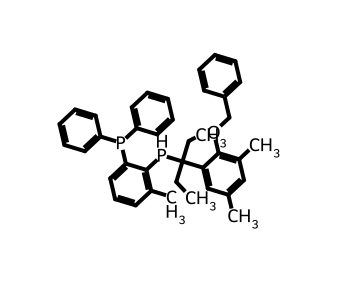 CCC(CC)(Pc1c(C)cccc1P(c1ccccc1)c1ccccc1)c1cc(C)cc(C)c1OCc1ccccc1